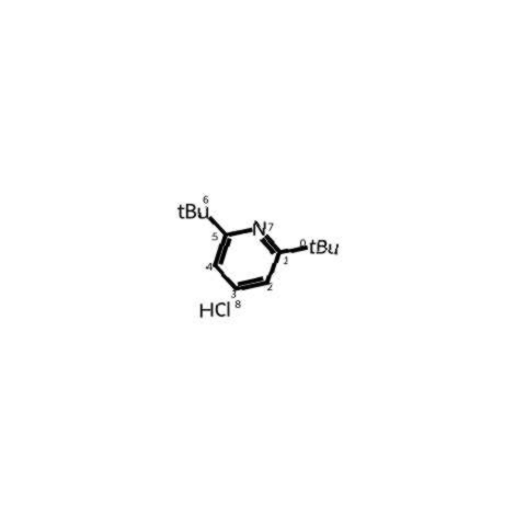 CC(C)(C)c1cccc(C(C)(C)C)n1.Cl